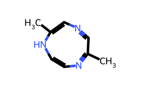 Cc1cncc(C)[nH]ccn1